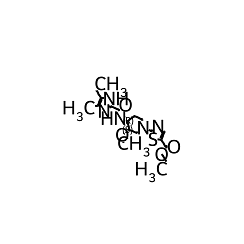 CCOC(=O)c1cnc(N2CC[C@@H](NC(=O)c3nc(C)c(CC)[nH]3)[C@@H](OC)C2)s1